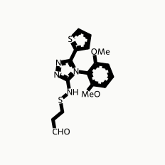 COc1cccc(OC)c1-n1c(NSCCC=O)nnc1-c1cccs1